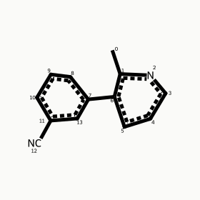 Cc1ncccc1-c1cccc(C#N)c1